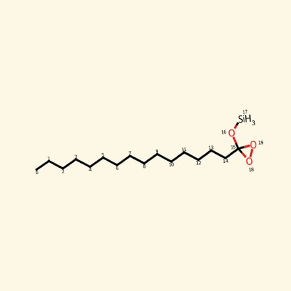 CCCCCCCCCCCCCCCC1(O[SiH3])OO1